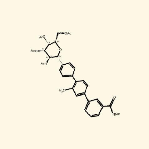 CNC(=O)c1cccc(-c2ccc(-c3ccc([C@H]4O[C@H](COC(C)=O)[C@@H](OC(C)=O)[C@H](OC(C)=O)[C@@H]4OC(C)=O)cc3)c(C)c2)c1